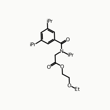 CCOCCOC(=O)CN(C(=O)c1cc(C(C)C)cc(C(C)C)c1)C(C)C